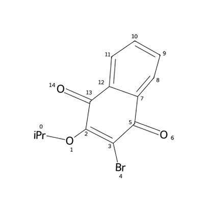 CC(C)OC1=C(Br)C(=O)c2ccccc2C1=O